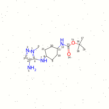 Cn1ncc(N)c1NC1CCC(NC(=O)OC(C)(C)C)CC1